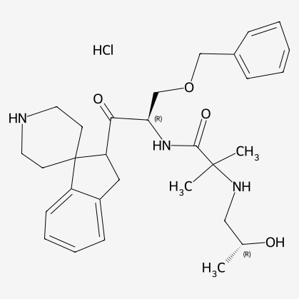 C[C@@H](O)CNC(C)(C)C(=O)N[C@H](COCc1ccccc1)C(=O)C1Cc2ccccc2C12CCNCC2.Cl